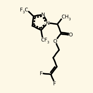 CC(C(=O)OCCC=C(F)F)n1nc(C(F)(F)F)cc1C(F)(F)F